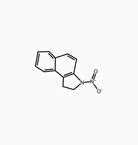 O=[N+]([O-])N1CCc2c1ccc1ccccc21